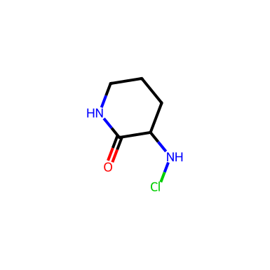 O=C1NCCCC1NCl